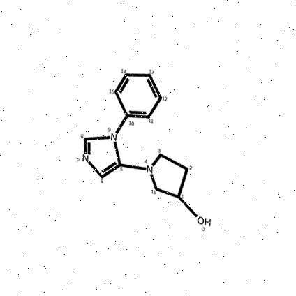 OC1CCN(c2cncn2-c2ccccc2)C1